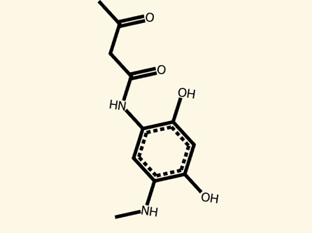 CNc1cc(NC(=O)CC(C)=O)c(O)cc1O